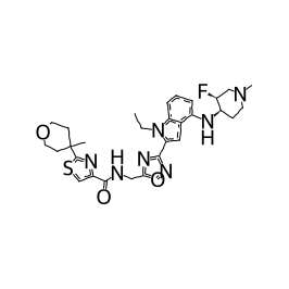 CCn1c(-c2noc(CNC(=O)c3csc(C4(C)CCOCC4)n3)n2)cc2c(N[C@@H]3CCN(C)C[C@@H]3F)cccc21